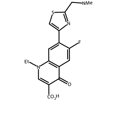 CCn1cc(C(=O)O)c(=O)c2cc(F)c(-c3csc(CNC)n3)cc21